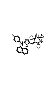 Cc1ccc(N(c2ccc(C=C3C(=O)N(C)C(=S)N(C)C3=O)s2)c2cccc3ccccc23)cc1